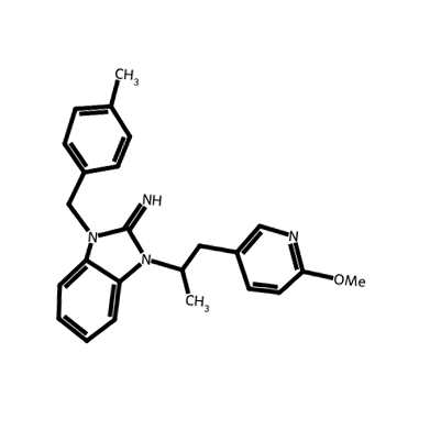 COc1ccc(CC(C)n2c(=N)n(Cc3ccc(C)cc3)c3ccccc32)cn1